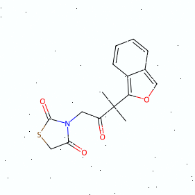 [CH2]C(C)(C(=O)CN1C(=O)CSC1=O)c1occ2ccccc12